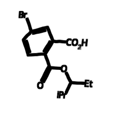 CCC(OC(=O)c1ccc(Br)cc1C(=O)O)C(C)C